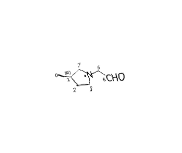 C[C@@H]1CCN(CC=O)C1